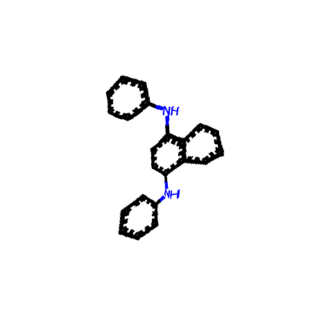 c1ccc(Nc2ccc(Nc3ccccc3)c3ccccc23)cc1